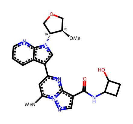 CNc1cc(-c2cn([C@@H]3COC[C@H]3OC)c3ncccc23)nc2c(C(=O)NC3CCC3O)cnn12